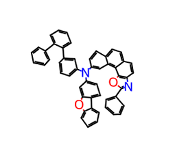 c1ccc(-c2nc3ccc4ccc5ccc(N(c6cccc(-c7ccccc7-c7ccccc7)c6)c6ccc7c(c6)oc6ccccc67)cc5c4c3o2)cc1